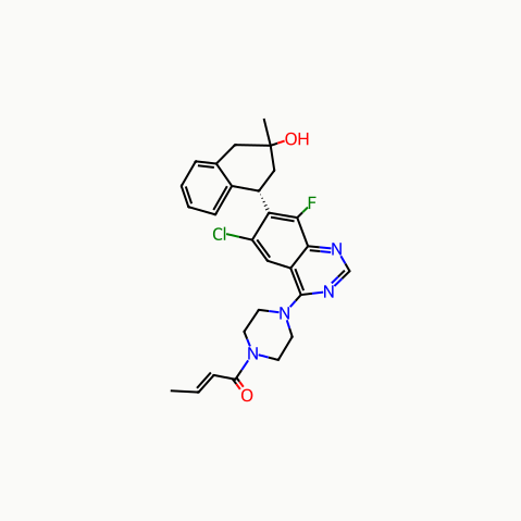 C/C=C/C(=O)N1CCN(c2ncnc3c(F)c([C@H]4CC(C)(O)Cc5ccccc54)c(Cl)cc23)CC1